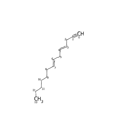 C#CCC=CCC=CCCCCCC